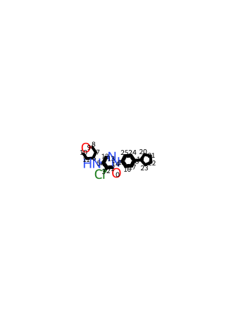 O=c1c(Cl)c(NC2CCOCC2)cnn1-c1ccc(C2CCCC2)cc1